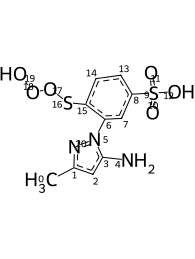 Cc1cc(N)n(-c2cc(S(=O)(=O)O)ccc2SOOO)n1